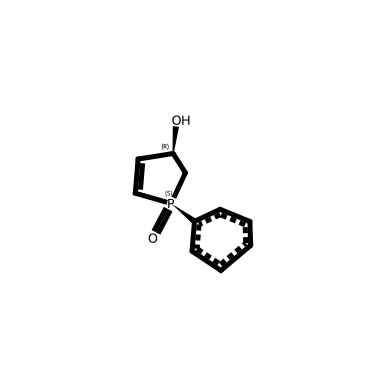 O=[P@]1(c2ccccc2)C=C[C@@H](O)C1